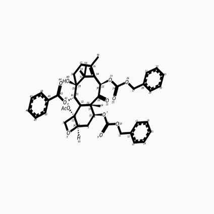 CC(=O)O[C@@]12CO[C@@H]1C[C@H](OC(=O)OCc1ccccc1)[C@@]1(C)C(=O)[C@H](OC(=O)OCc3ccccc3)C3=C(C)CC[C@@](O)([C@@H](OC(=O)c4ccccc4)C12)C3(C)C